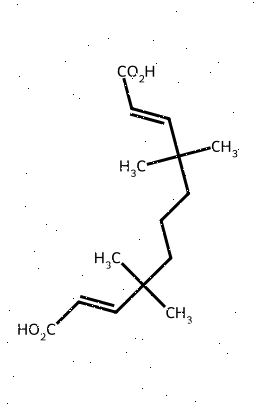 CC(C)(C=CC(=O)O)CCCC(C)(C)C=CC(=O)O